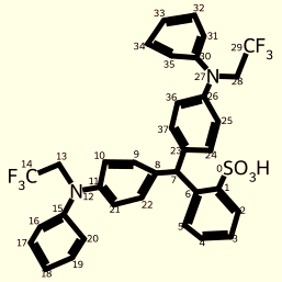 O=S(=O)(O)c1ccccc1C(c1ccc(N(CC(F)(F)F)c2ccccc2)cc1)c1ccc(N(CC(F)(F)F)c2ccccc2)cc1